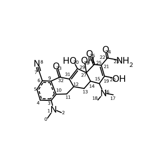 CN(C)c1ccc(C#N)c2c1CC1CC3C(N(C)C)C(O)=C(C(N)=O)C(=O)C3(O)C(O)=C1C2=O